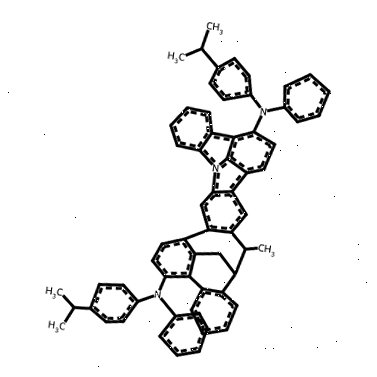 CC(C)c1ccc(N(c2ccccc2)c2ccc3c4c2-c2ccccc2C(C4)C(C)c2cc4c5ccc(N(c6ccccc6)c6ccc(C(C)C)cc6)c6c7ccccc7n(c4cc2-3)c56)cc1